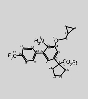 CCOC(=O)C1(c2cc(OCC3CC3)c(N)c(-c3ccc(C(F)(F)F)cc3)c2)CCCC1